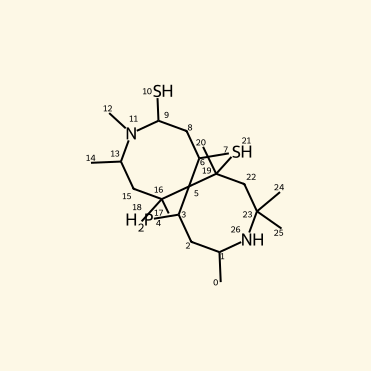 CC1CC(P)C2(C(C)CC(S)N(C)C(C)CC2(C)C)C(C)(S)CC(C)(C)N1